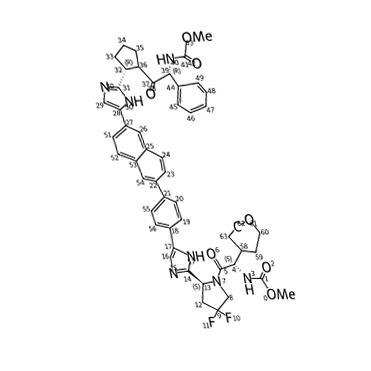 COC(=O)N[C@H](C(=O)N1CC(F)(F)C[C@H]1c1ncc(-c2ccc(-c3ccc4cc(-c5cnc([C@@H]6CCCC6C(=O)[C@H](NC(=O)OC)c6ccccc6)[nH]5)ccc4c3)cc2)[nH]1)C1CCOCC1